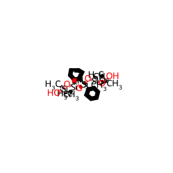 C[Si](C)(O)O[Si](C)(C)O[Si](O[Si](C)(C)O[Si](C)(C)O)(c1ccccc1)c1ccccc1